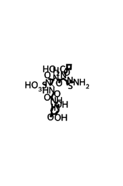 Nc1nc(C(=NOC2(C(=O)O)CCC2)C(=O)N[C@@H]2C(=O)N(S(=O)(=O)O)[C@H]2CNC(=O)C(=O)NCc2cc(=O)c(O)cn2O)cs1